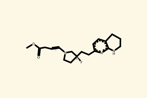 COC(=O)C/C=C/N1CC[C@@](F)(CCc2ccc3c(n2)NCCC3)C1